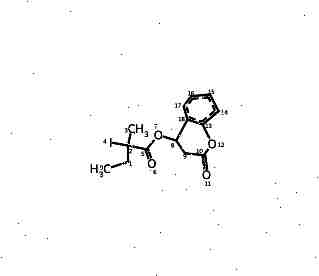 CCC(C)(I)C(=O)OC1CC(=O)Oc2ccccc21